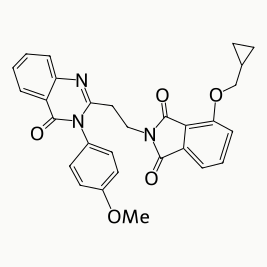 COc1ccc(-n2c(CCN3C(=O)c4cccc(OCC5CC5)c4C3=O)nc3ccccc3c2=O)cc1